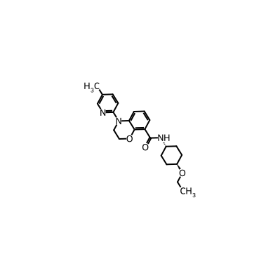 CCO[C@H]1CC[C@H](NC(=O)c2cccc3c2OCCN3c2ccc(C)cn2)CC1